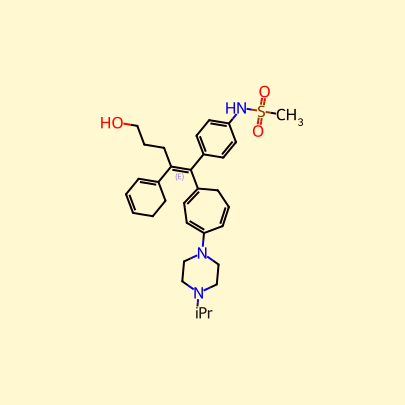 CC(C)N1CCN(C2=CC=C(/C(=C(/CCCO)C3=CC=CCC3)c3ccc(NS(C)(=O)=O)cc3)CC=C2)CC1